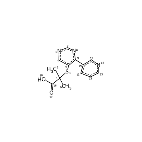 CC(C)(Sc1cncnc1-c1cccnc1)C(=O)O